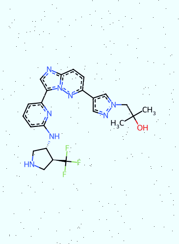 CC(C)(O)Cn1cc(-c2ccc3ncc(-c4cccc(N[C@H]5CNC[C@@H]5C(F)(F)F)n4)n3n2)cn1